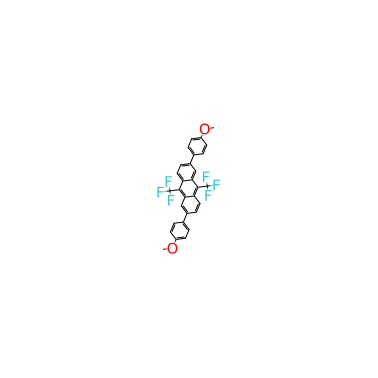 COc1ccc(-c2ccc3c(C(F)(F)F)c4cc(-c5ccc(OC)cc5)ccc4c(C(F)(F)F)c3c2)cc1